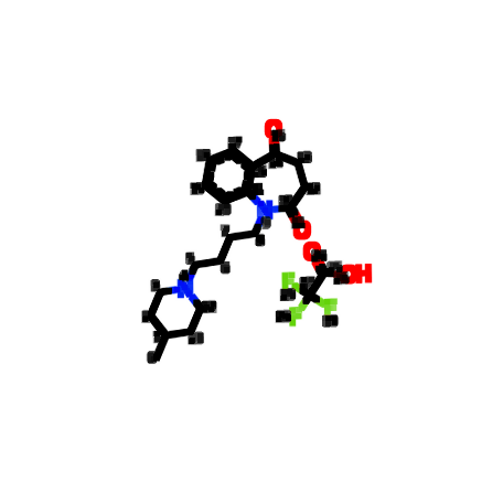 CC1CCN(CCCCN2C(=O)CCC(=O)c3ccccc32)CC1.O=C(O)C(F)(F)F